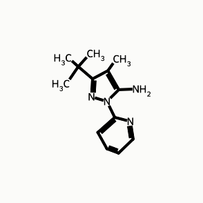 Cc1c(C(C)(C)C)nn(-c2ccccn2)c1N